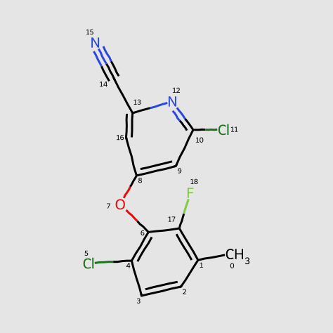 Cc1ccc(Cl)c(Oc2cc(Cl)nc(C#N)c2)c1F